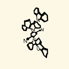 N#Cc1cc(-n2c3ccc(-n4c5ccccc5c5ccccc54)cc3c3ccc4ccccc4c32)c(C#N)cc1-n1c2ccccc2c2c3oc4ccccc4c3ccc21